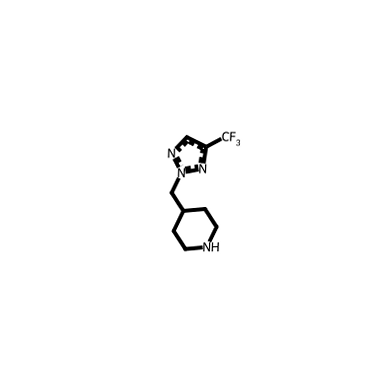 FC(F)(F)c1cnn(CC2CCNCC2)n1